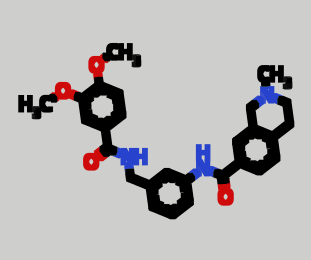 COc1ccc(C(=O)NCc2cccc(NC(=O)c3ccc4c(c3)CN(C)CC4)c2)cc1OC